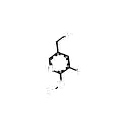 CCOc1ncc(CC(C)C)cc1F